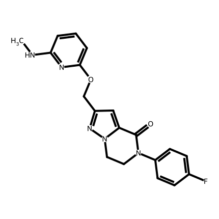 CNc1cccc(OCc2cc3n(n2)CCN(c2ccc(F)cc2)C3=O)n1